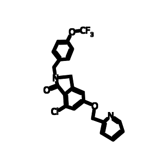 O=C1c2c(Cl)cc(OCc3ccccn3)cc2CN1Cc1ccc(OC(F)(F)F)cc1